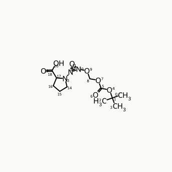 CC(C)(C)OC(=O)OCOn1on1N1CCCC1C(=O)O